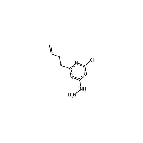 C=CCSc1nc(Cl)cc(NN)n1